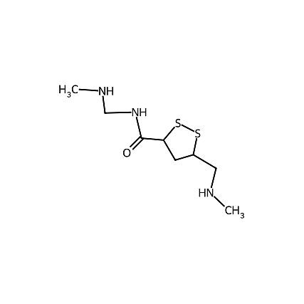 CNCNC(=O)C1CC(CNC)SS1